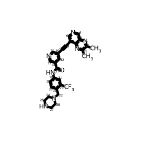 Cc1nc2cncc(C#Cc3cncc(C(=O)Nc4ccc(CN5CCNCC5)c(C(F)(F)F)c4)c3)c2nc1C